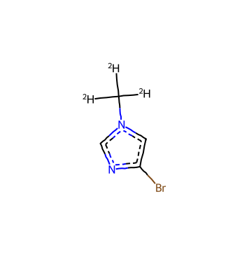 [2H]C([2H])([2H])n1cnc(Br)c1